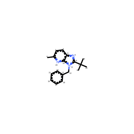 Cc1ccc2nc(C(C)(C)C)n(Cc3ccccc3)c2n1